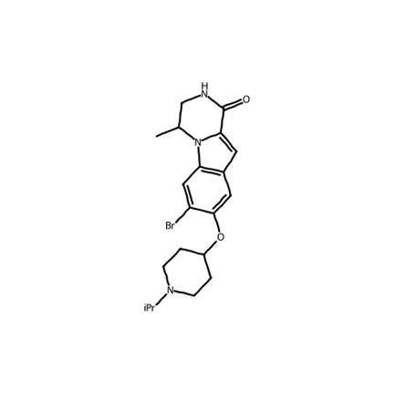 CC(C)N1CCC(Oc2cc3cc4n(c3cc2Br)C(C)CNC4=O)CC1